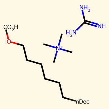 CCCCCCCCCCCCCCCCOC(=O)O.C[N+](C)(C)C.N=C(N)N